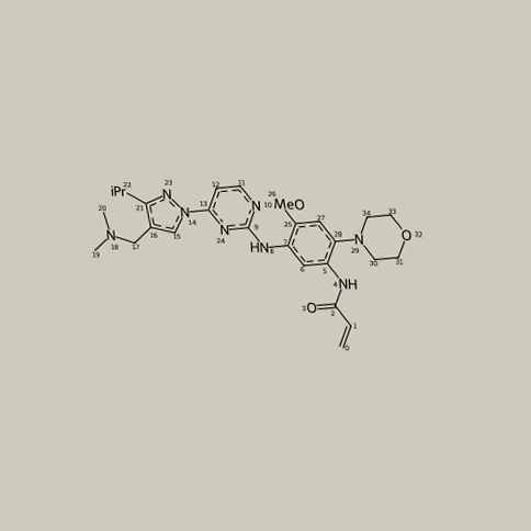 C=CC(=O)Nc1cc(Nc2nccc(-n3cc(CN(C)C)c(C(C)C)n3)n2)c(OC)cc1N1CCOCC1